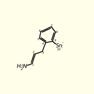 NC=CCc1cccc[c]1[Sn]